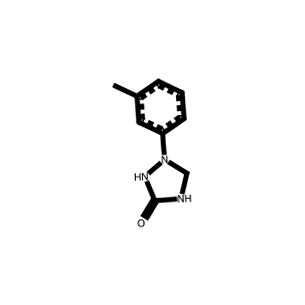 Cc1[c]ccc(N2CNC(=O)N2)c1